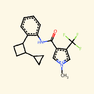 Cn1cc(C(=O)Nc2ccccc2C2CCC2C2CC2)c(C(F)(F)F)c1